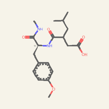 CNC(=O)[C@H](Cc1ccc(OC)cc1)NC(=O)C(CC(=O)O)CC(C)C